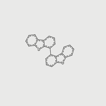 c1ccc2c(c1)oc1c(-c3cccc4oc5ccccc5c34)cccc12